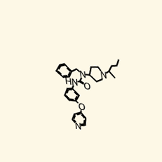 CCCC(C)N1CCC(N(Cc2ccccc2)C(=O)Nc2cccc(Oc3ccncc3)c2)CC1